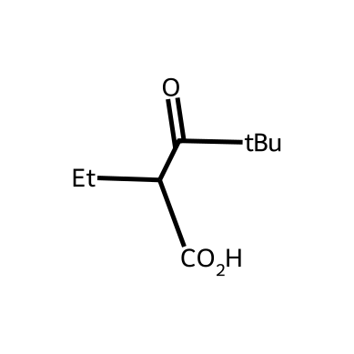 CCC(C(=O)O)C(=O)C(C)(C)C